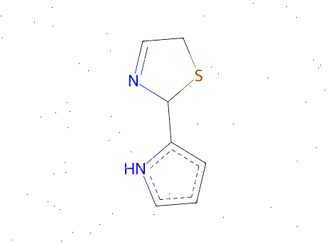 C1=NC(c2ccc[nH]2)SC1